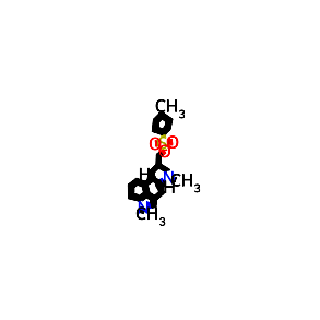 Cc1ccc(S(=O)(=O)OCC2C[C@@H]3c4cccc5c4c(cn5C)C[C@H]3N(C)C2)cc1